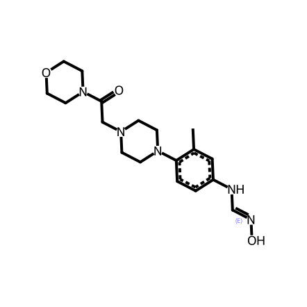 Cc1cc(N/C=N/O)ccc1N1CCN(CC(=O)N2CCOCC2)CC1